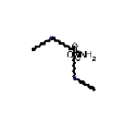 CCCCCCCC/C=C\CCCCCCCC(=O)N(CC(N)=O)C(=O)CCCCCCC/C=C\CCCCCCCC